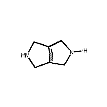 [2H]N1CC2=C(CNC2)C1